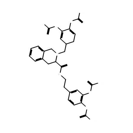 CC(=O)OC1=CCC(CN2Cc3ccccc3CC2C(=O)NCCc2ccc(OC(C)=O)c(OC(C)=O)c2)C=C1OC(C)=O